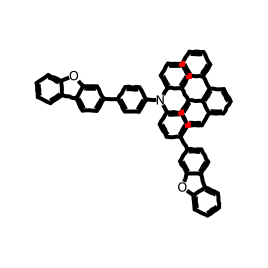 c1ccc(-c2cccc3cccc(-c4ccccc4N(c4ccc(-c5ccc6c(c5)oc5ccccc56)cc4)c4ccc(-c5ccc6c(c5)oc5ccccc56)cc4)c23)cc1